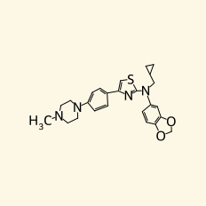 CN1CCN(c2ccc(-c3csc(N(CC4CC4)c4ccc5c(c4)OCO5)n3)cc2)CC1